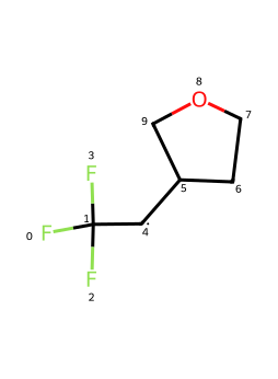 FC(F)(F)[CH]C1CCOC1